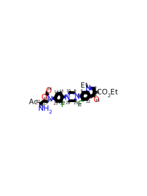 CCOC(=O)c1cn(CC)c2cc(N3CCN(c4ccc(N5CC([C@H](N)C(C)=O)OC5=O)cc4F)CC3)c(F)cc2c1=O